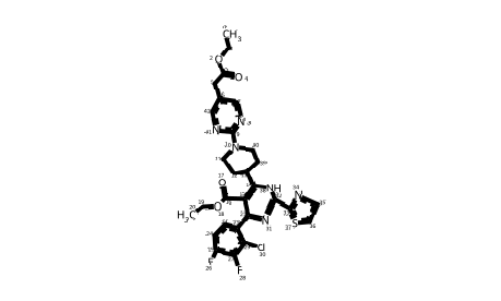 CCOC(=O)Cc1cnc(N2CCC(C3=C(C(=O)OCC)C(c4ccc(F)c(F)c4Cl)N=C(c4nccs4)N3)CC2)nc1